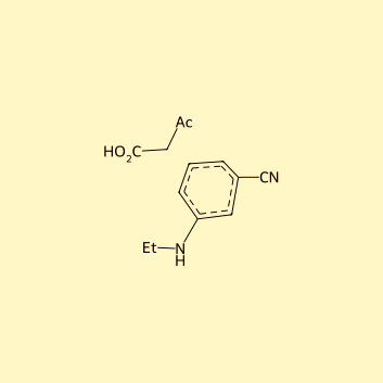 CC(=O)CC(=O)O.CCNc1cccc(C#N)c1